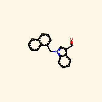 O=[C]c1cn(Cc2cccc3ccccc23)c2ccccc12